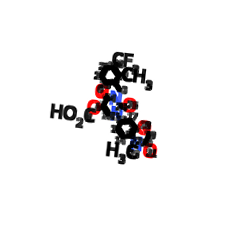 Cc1c(Cn2c(=O)c(OC(=O)O)cn(-c3ccc4c(c3)OCC(=O)N4C)c2=O)cccc1C(F)(F)F